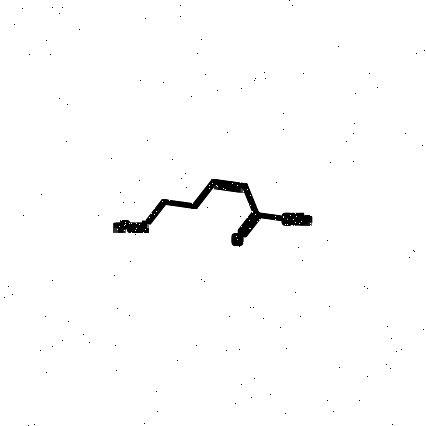 CCCCCCC/C=C\C(=O)OC